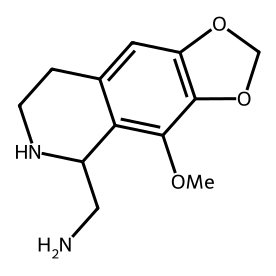 COc1c2c(cc3c1C(CN)NCC3)OCO2